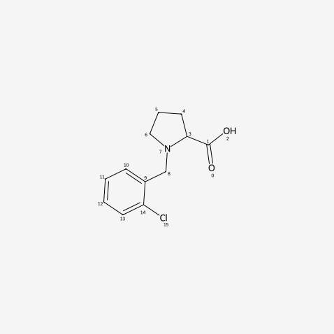 O=C(O)C1CCCN1Cc1ccccc1Cl